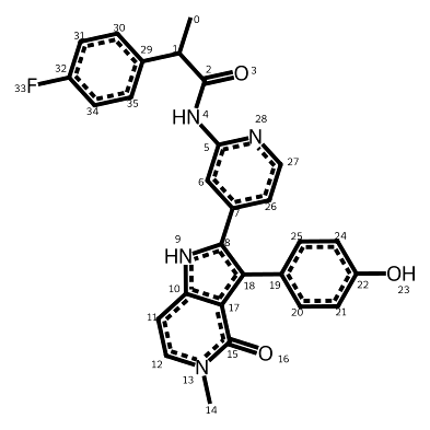 CC(C(=O)Nc1cc(-c2[nH]c3ccn(C)c(=O)c3c2-c2ccc(O)cc2)ccn1)c1ccc(F)cc1